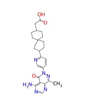 Cc1nn(-c2ccc(C3CCC4(CCC(CC(=O)O)CC4)CC3)nc2)c(=O)c2c(N)ncnc12